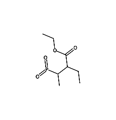 CCOC(=O)C(CC)C(C)P(=O)=O